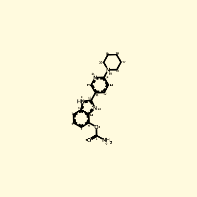 NC(=O)Oc1cccc2[nH]c(-c3ccc(N4CCCCC4)nc3)nc12